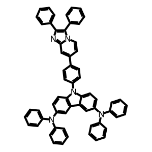 c1ccc(-c2nc3cc(-c4ccc(-n5c6ccc(N(c7ccccc7)c7ccccc7)cc6c6cc(N(c7ccccc7)c7ccccc7)ccc65)cc4)ccn3c2-c2ccccc2)cc1